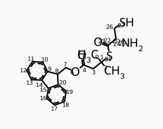 CC(C)(CC(=O)OCC1c2ccccc2-c2ccccc21)SC(=O)[C@@H](N)CS